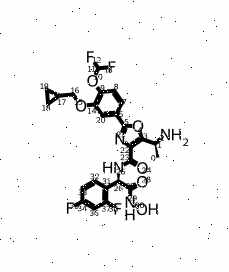 C[C@H](N)c1oc(-c2ccc(OC(F)F)c(OCC3CC3)c2)nc1C(=O)N[C@@H](C(=O)NO)c1ccc(F)cc1F